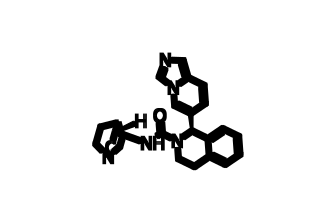 O=C(N[C@@H]1CN2CCC1CC2)N1CCc2ccccc2[C@@H]1c1ccc2cncn2c1